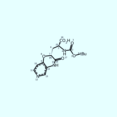 CC(C)(C)OC(=O)N[C@@H](C[C@H]1Oc2ccncc2NC1=O)C(=O)O